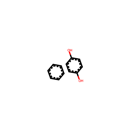 Oc1ccc(O)cc1.c1ccccc1